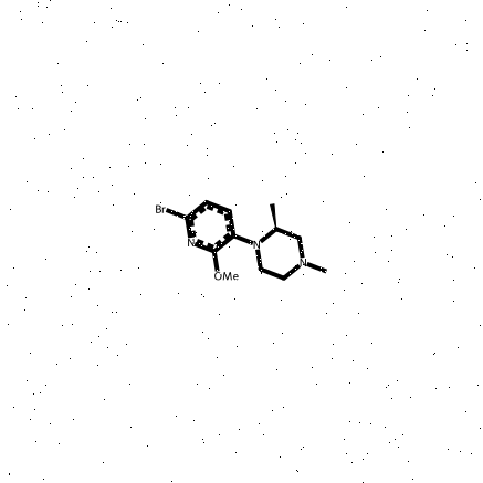 COc1nc(Br)ccc1N1CCN(C)C[C@@H]1C